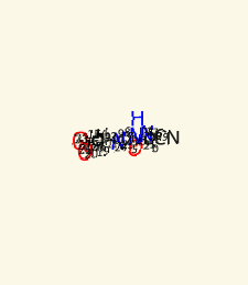 Cc1cc(C(=O)NC2CCN(CCc3ccc4c(c3C)COC4=O)CC2)ncc1C#N